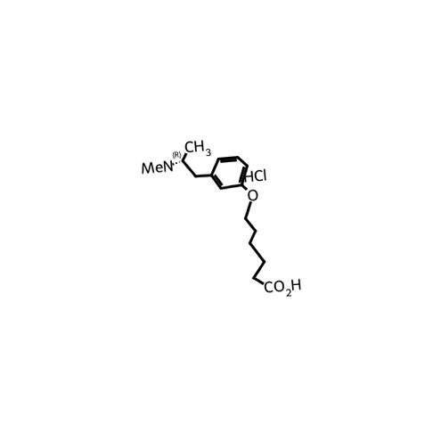 CN[C@H](C)Cc1cccc(OCCCCCC(=O)O)c1.Cl